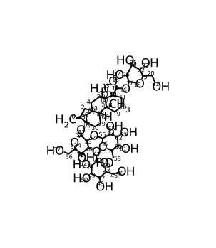 C=C1C[C@@]23CC[C@H]4[C@@](C)(CCC[C@@]4(C)C(=O)OC4OC(CO)C(O)C(O)C4O)[C@@H]2CC[C@]1(OC1OC(CO)C(O)C(OC2OC(CO)C(O)C(O)C2O)C1OC1OC(CO)C(O)C(O)C1O)C3